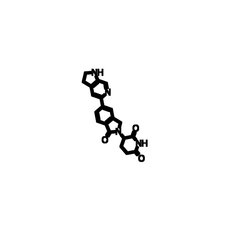 O=C1CCC(N2Cc3cc(-c4cc5c(cn4)NCC5)ccc3C2=O)C(=O)N1